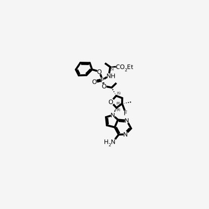 CCOC(=O)[C@H](C)NP(=O)(Oc1ccccc1)OC(C)[C@@H]1C[C@@](C)(F)[C@H](n2ccc3c(N)ncnc32)O1